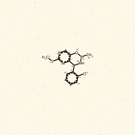 CSc1ncc2c(n1)C(c1ccccc1Cl)NN(C)O2